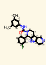 Cc1cc(C)cc(NC(=O)N2CCc3c([nH]c4ccncc34)C2c2cccc(F)c2)c1